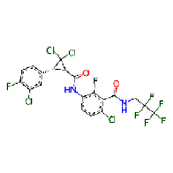 O=C(NCC(F)(F)C(F)(F)F)c1c(Cl)ccc(NC(=O)C2[C@H](c3ccc(F)c(Cl)c3)C2(Cl)Cl)c1F